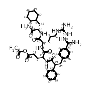 N=C(N)NCCC[C@H](NC(=O)[C@H](CCC(=O)OC(=O)C(F)(F)F)NC(=O)[C@@H](Cc1ccc(C(=N)N)cc1)c1ccccc1)C(=O)N[C@@H](CC1CCCCC1)C(N)=O